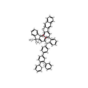 CC1(C)c2ccccc2-c2ccc(N(c3ccc(-c4ccc(C5C=CC=CC5)c(-c5ccccc5)c4)cc3)c3ccccc3-c3ccc4oc5cc6ccccc6cc5c4c3)cc21